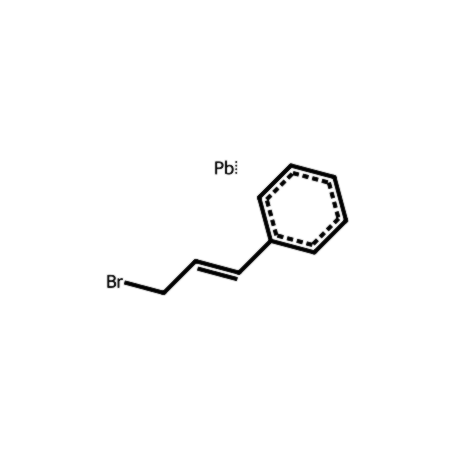 BrCC=Cc1ccccc1.[Pb]